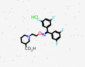 Cl.O=C(O)C1CCCN(CCON=C(c2cc(F)cc(F)c2)c2cc(F)cc(F)c2)C1